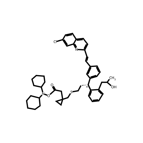 CC(O)Cc1ccccc1[C@H](CCSCC1(CC(=O)ON(C2CCCCC2)C2CCCCC2)CC1)c1cccc(C=Cc2ccc3ccc(Cl)cc3n2)c1